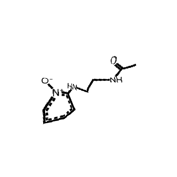 CC(=O)NCCNc1cccc[n+]1[O-]